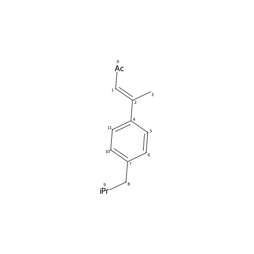 CC(=O)C=C(C)c1ccc(CC(C)C)cc1